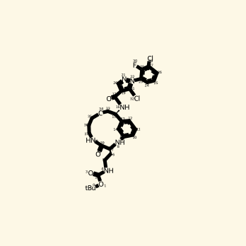 CC(C)(C)OC(=O)NCC[C@@H]1Nc2cccc(c2)[C@@H](NC(=O)c2cnn(-c3cccc(Cl)c3F)c2Cl)CCCCCNC1=O